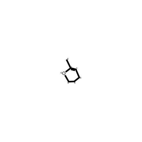 CC1=CCCCO1